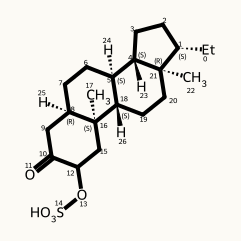 CC[C@H]1CC[C@H]2[C@@H]3CC[C@@H]4CC(=O)C(OS(=O)(=O)O)C[C@]4(C)[C@H]3CC[C@]12C